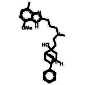 COc1ccc(C)c2nc(CCCN(C)CCC3(O)C[C@@H]4CCC3C=C4c3ccccc3)[nH]c12